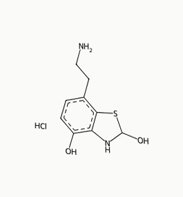 Cl.NCCc1ccc(O)c2c1SC(O)N2